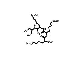 CNCCCCC(NC)C(=O)NC(CCCCNC)C(=O)NC(CCCCNC)C(=O)NC(CC(C)=O)CC(C)=O